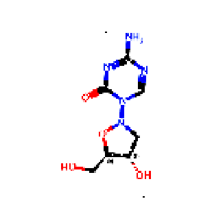 Nc1ncn(N2C[C@H](O)[C@@H](CO)O2)c(=O)n1